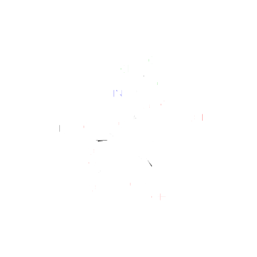 COC(=O)[C@H]1O[C@H](OC(=N)C(Cl)(Cl)Cl)[C@H](CC(=O)O)[C@@H](CC(=O)O)[C@@H]1CC(=O)O